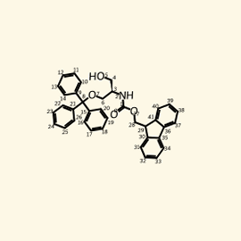 O=C(N[C@H](CO)COC(c1ccccc1)(c1ccccc1)c1ccccc1)OCC1c2ccccc2-c2ccccc21